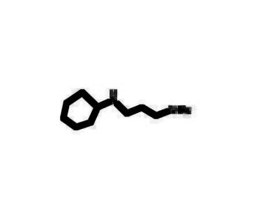 CC(=O)NCCCNC1CCCCC1